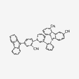 N#Cc1ccc2c(c1)c1c(C#N)cccc1n2-c1ccccc1-c1cccc(-c2ccc(-n3c4ccccc4c4ccccc43)cc2C#N)c1